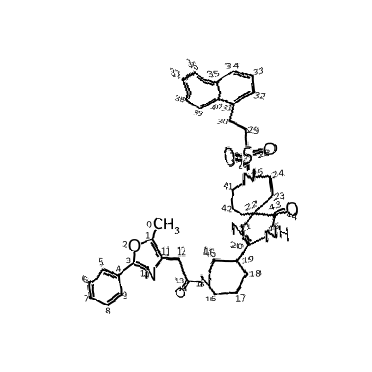 Cc1oc(-c2ccccc2)nc1CC(=O)N1CCCC(C2=NC3(CCN(S(=O)(=O)CCc4cccc5ccccc45)CC3)C(=O)N2)C1